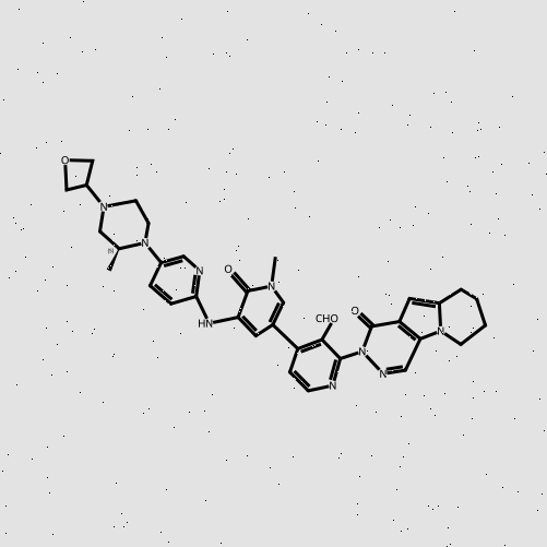 C[C@H]1CN(C2COC2)CCN1c1ccc(Nc2cc(-c3ccnc(-n4ncc5c(cc6n5CCCC6)c4=O)c3C=O)cn(C)c2=O)nc1